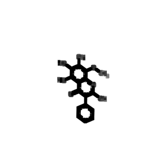 COc1c(O)c(O)c(O)c2c(=O)c(-c3ccccc3)c(O)oc12